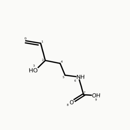 C=CC(O)CCNC(=O)O